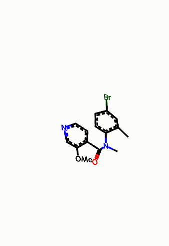 COc1cnccc1C(=O)N(C)c1ccc(Br)cc1C